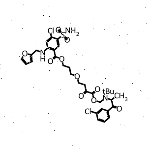 CC(C(=O)c1cccc(Cl)c1)N(COC(=O)C(=O)CCOCCCOC(=O)c1cc(S(N)(=O)=O)c(Cl)cc1NCc1ccco1)C(C)(C)C